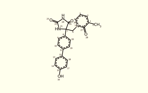 Cc1cccn(CC2(c3ccc(-c4ccc(O)cc4)cc3)NC(=O)NC2=O)c1=O